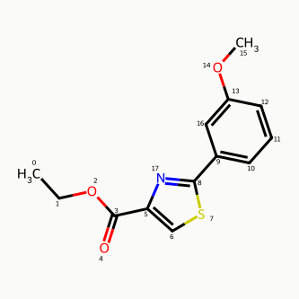 CCOC(=O)c1csc(-c2cccc(OC)c2)n1